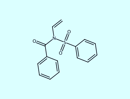 C=CN(C(=O)c1ccccc1)S(=O)(=O)c1ccccc1